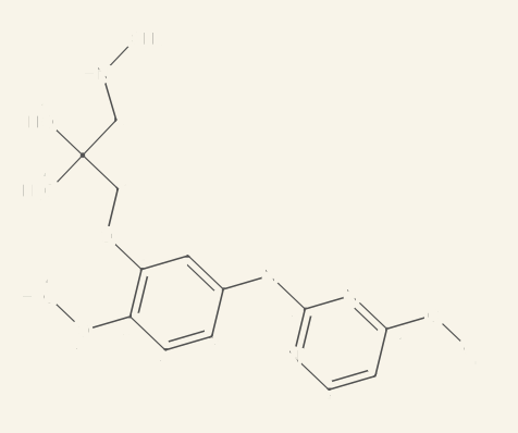 CNCC(C)(O)COc1cc(Nc2nccc(OC)n2)ccc1OC